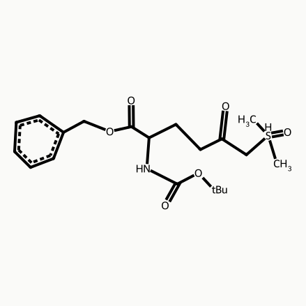 CC(C)(C)OC(=O)NC(CCC(=O)C[SH](C)(C)=O)C(=O)OCc1ccccc1